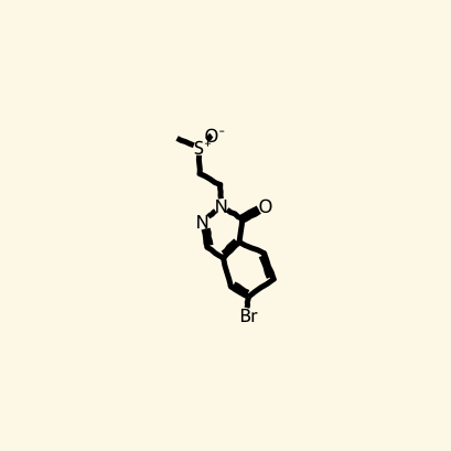 C[S+]([O-])CCn1ncc2cc(Br)ccc2c1=O